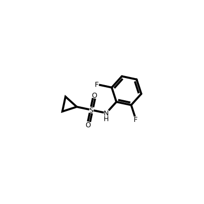 O=S(=O)(Nc1c(F)cccc1F)C1CC1